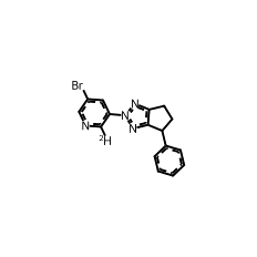 [2H]c1ncc(Br)cc1-n1nc2c(n1)C(c1ccccc1)CC2